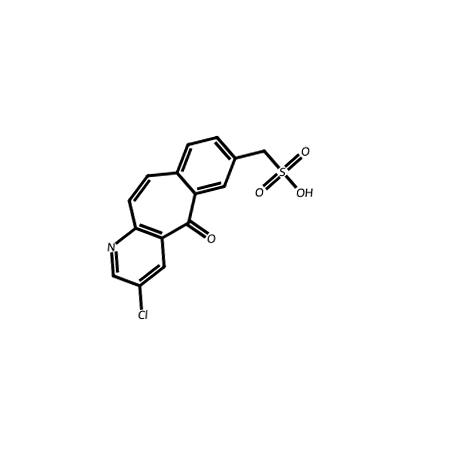 O=c1c2cc(CS(=O)(=O)O)ccc2ccc2ncc(Cl)cc12